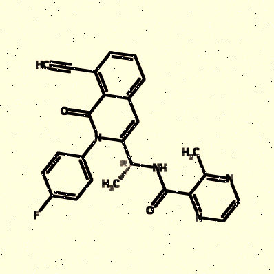 C#Cc1cccc2cc([C@@H](C)NC(=O)c3nccnc3C)n(-c3ccc(F)cc3)c(=O)c12